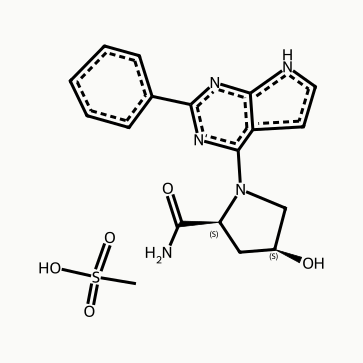 CS(=O)(=O)O.NC(=O)[C@@H]1C[C@H](O)CN1c1nc(-c2ccccc2)nc2[nH]ccc12